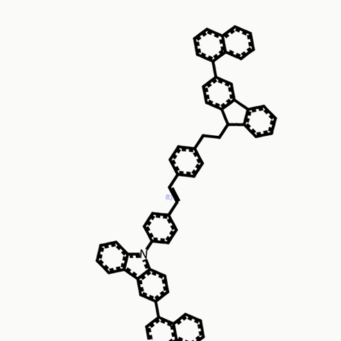 C(=C\c1ccc(-n2c3ccccc3c3cc(-c4cccc5ccccc45)ccc32)cc1)/c1ccc(CCC2c3ccccc3-c3cc(-c4cccc5ccccc45)ccc32)cc1